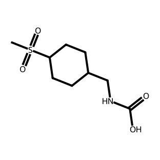 CS(=O)(=O)C1CCC(CNC(=O)O)CC1